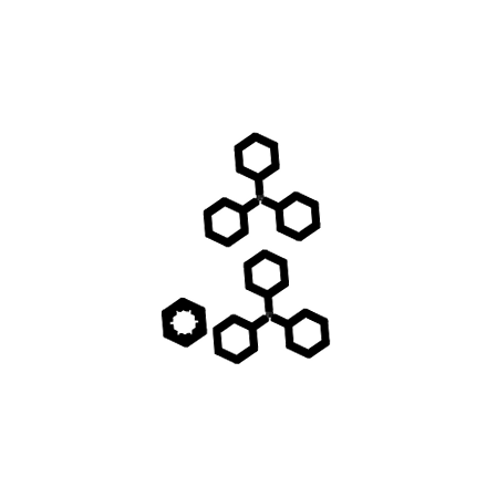 C1CCC(P(C2CCCCC2)C2CCCCC2)CC1.C1CCC(P(C2CCCCC2)C2CCCCC2)CC1.c1ccccc1